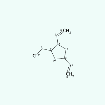 C=CC1CC(C=C)C(CCl)C1